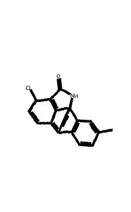 Cc1ccc2c(c1)C13C=CC2=C2C=CC(Cl)C(=C21)C(=O)N3